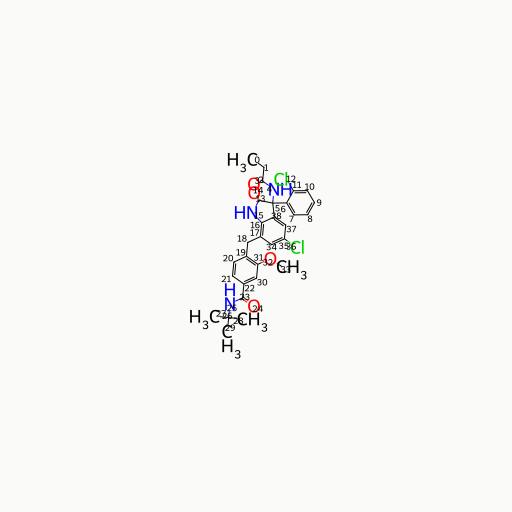 CCC(=O)NC1(c2ccccc2Cl)C(=O)Nc2c(Cc3ccc(C(=O)NC(C)(C)C)cc3OC)cc(Cl)cc21